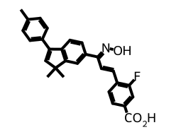 Cc1ccc(C2=CC(C)(C)c3cc(C(C=Cc4ccc(C(=O)O)cc4F)=NO)ccc32)cc1